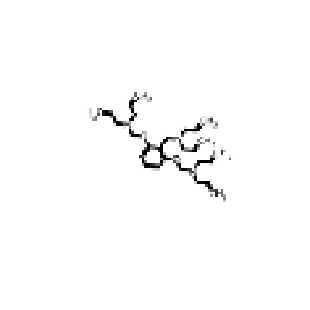 C=CCN(CC=C)COc1cccc(OCN(CC=C)CC=C)c1CN(CC=C)CC=C